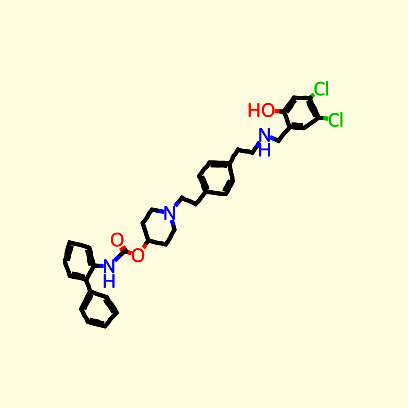 O=C(Nc1ccccc1-c1ccccc1)OC1CCN(CCc2ccc(CCNCc3cc(Cl)c(Cl)cc3O)cc2)CC1